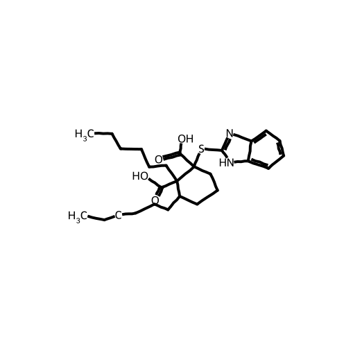 CCCCCCC1CCCC(Sc2nc3ccccc3[nH]2)(C(=O)O)C1(CCCCCC)C(=O)O